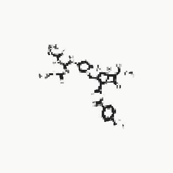 C[C@@H](O)C1C(=O)N2C(C(=O)OC(=O)c3ccc([N+](=O)[O-])cc3)=C(CN3CC[C@H](NC(=NC(=O)OP)NC(=O)OP)C3)[C@H](C)[C@H]12